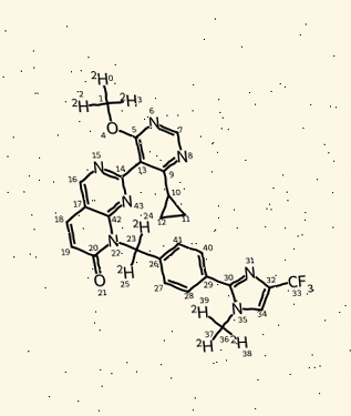 [2H]C([2H])([2H])Oc1ncnc(C2CC2)c1-c1ncc2ccc(=O)n(C([2H])([2H])c3ccc(-c4nc(C(F)(F)F)cn4C([2H])([2H])[2H])cc3)c2n1